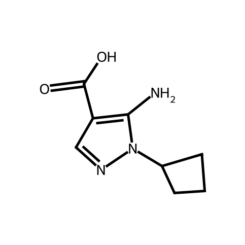 Nc1c(C(=O)O)cnn1C1CCC1